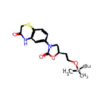 CC(C)(C)[Si](C)(C)OCC[C@@H]1CN(c2ccc3c(c2)NC(=O)CS3)C(=O)O1